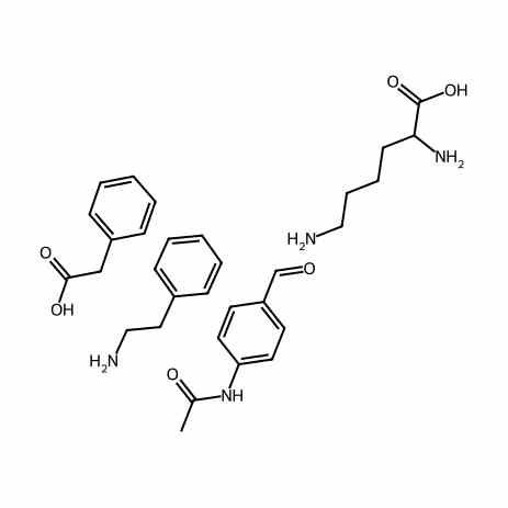 CC(=O)Nc1ccc(C=O)cc1.NCCCCC(N)C(=O)O.NCCc1ccccc1.O=C(O)Cc1ccccc1